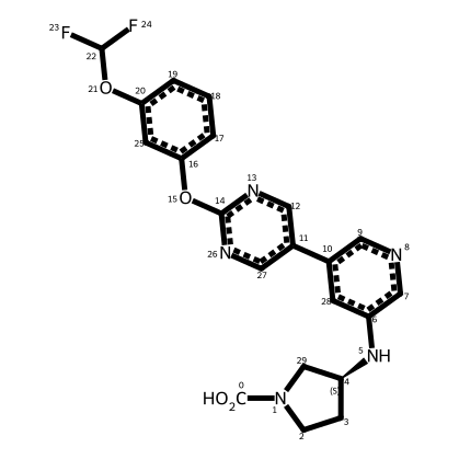 O=C(O)N1CC[C@H](Nc2cncc(-c3cnc(Oc4cccc(OC(F)F)c4)nc3)c2)C1